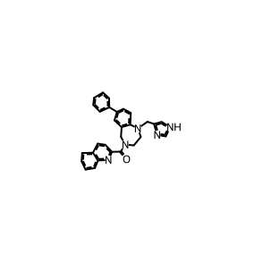 O=C(c1ccc2ccccc2n1)N1CCN(Cc2c[nH]cn2)c2ccc(-c3ccccc3)cc2C1